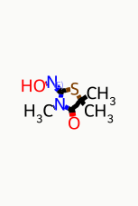 CN1C(=O)C(C)(C)S/C1=N/O